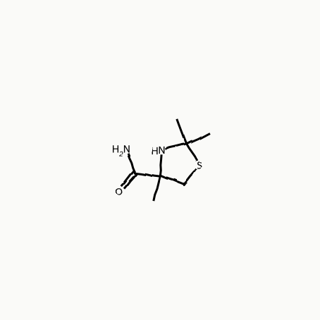 CC1(C)NC(C)(C(N)=O)CS1